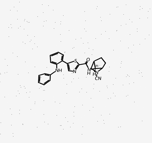 N#CN1CC2CCC1[C@@H]2NC(=O)c1ncc(-c2ccccc2Nc2ccccc2)s1